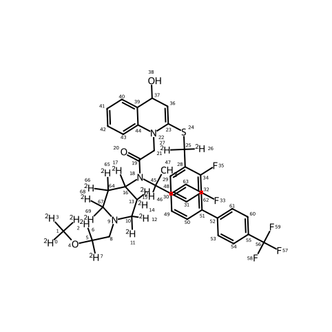 [2H]C([2H])([2H])OC([2H])([2H])CN1C([2H])([2H])C([2H])([2H])C([2H])(N(C(=O)CN2C(SC([2H])([2H])c3cccc(F)c3F)=CC(O)c3ccccc32)C([2H])(C)c2ccc(-c3ccc(C(F)(F)F)cc3)cc2)C([2H])([2H])C1([2H])[2H]